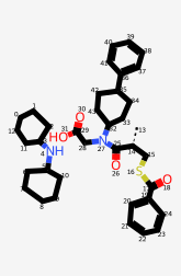 C1CCC(NC2CCCCC2)CC1.C[C@H](CSC(=O)c1ccccc1)C(=O)N(CC(=O)O)C1CCC(c2ccccc2)CC1